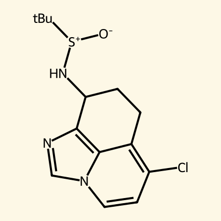 CC(C)(C)[S+]([O-])NC1CCc2c(Cl)ccn3cnc1c23